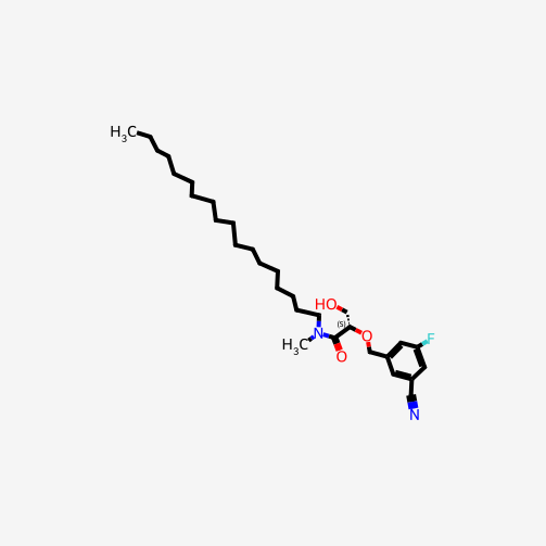 CCCCCCCCCCCCCCCCCCN(C)C(=O)[C@H](CO)OCc1cc(F)cc(C#N)c1